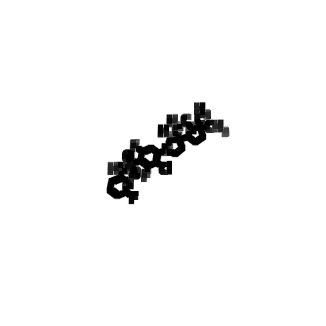 CN1C(C2(C)CCN(c3cc(F)c(S(=O)(=O)Nc4cccc(F)n4)c(F)c3Cl)C2)CCC1(C)C